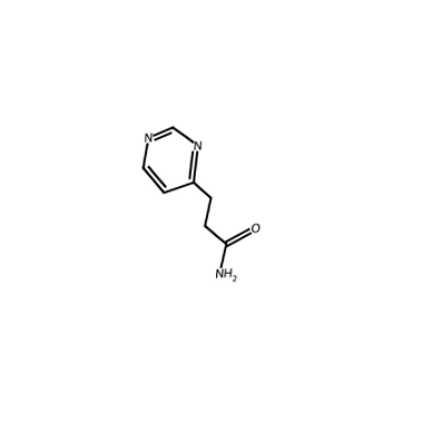 NC(=O)CCc1ccncn1